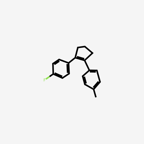 Cc1ccc(C2=C(c3ccc(F)cc3)CCC2)cc1